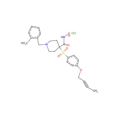 CC#CCOc1ccc(S(=O)(=O)C2(C(=O)NO)CCN(Cc3ccccc3C(=O)O)CC2)cc1.Cl